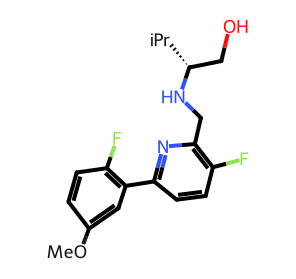 COc1ccc(F)c(-c2ccc(F)c(CN[C@@H](CO)C(C)C)n2)c1